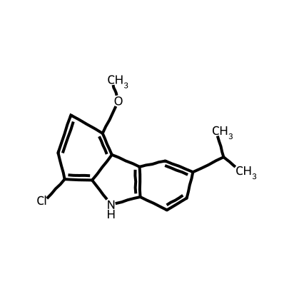 COc1ccc(Cl)c2[nH]c3ccc(C(C)C)cc3c12